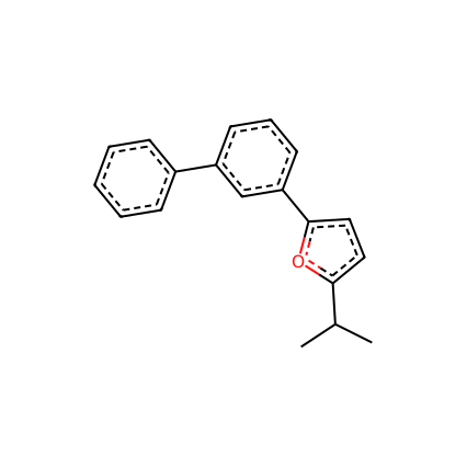 CC(C)c1ccc(-c2cccc(-c3ccccc3)c2)o1